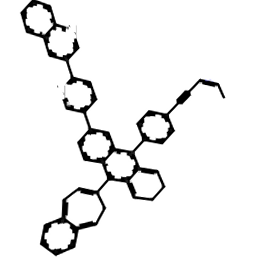 C/C=C\C#Cc1ccc(-c2c3c(c(C4=CC=c5ccccc5=CC4)c4ccc(-c5ccc(-c6cnc7ccccc7c6)nc5)cc24)=CCCC=3)cc1